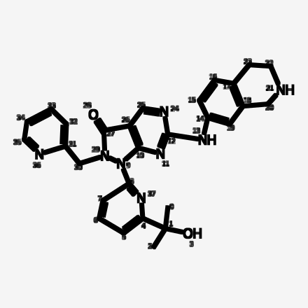 CC(C)(O)c1cccc(-n2c3nc(Nc4ccc5c(c4)CNCC5)ncc3c(=O)n2Cc2ccccn2)n1